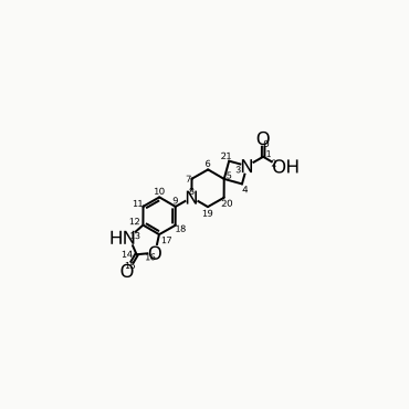 O=C(O)N1CC2(CCN(c3ccc4[nH]c(=O)oc4c3)CC2)C1